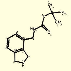 CC(C)(C)OC(=O)NCc1cccc2c1CNC2